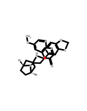 COc1cnc2ncc(=O)n(CCN3[C@@H]4CC[C@@H]3CC(NCc3cc5c(cn3)OCS5)C4)c2c1